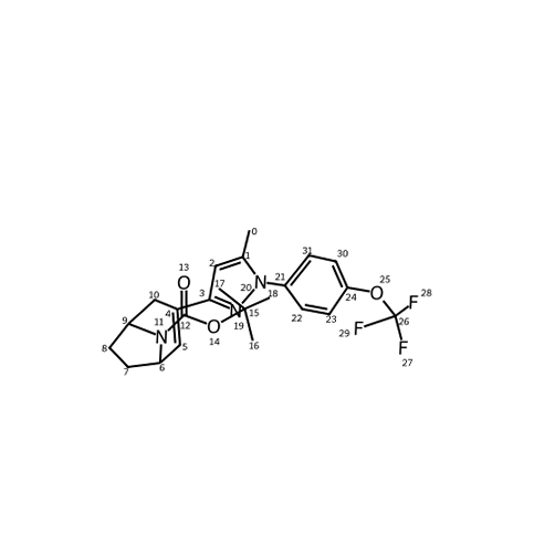 Cc1cc(C2=CC3CCC(C2)N3C(=O)OC(C)(C)C)nn1-c1ccc(OC(F)(F)F)cc1